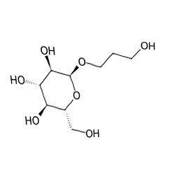 OCCCO[C@H]1O[C@H](CO)[C@@H](O)[C@H](O)[C@H]1O